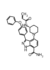 C=CC(=O)N[C@H]1CCCN(c2ccc(C(N)=O)c3[nH]nc(-c4ccc(Oc5ccccc5)cc4)c23)C1